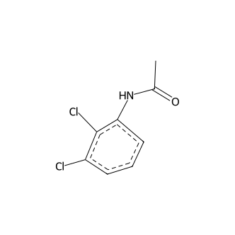 CC(=O)Nc1cccc(Cl)c1Cl